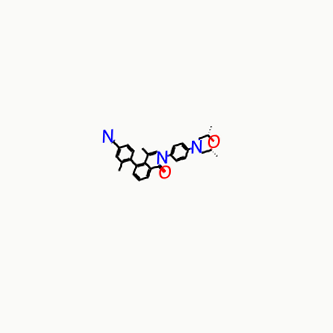 Cc1cc(C#N)ccc1-c1cccc2c(=O)n(-c3ccc(N4C[C@@H](C)O[C@@H](C)C4)cc3)cc(C)c12